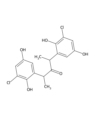 CC(C(=O)C(C)c1cc(O)cc(Cl)c1O)c1cc(O)cc(Cl)c1O